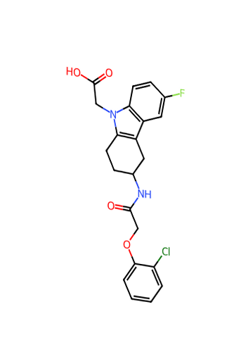 O=C(O)Cn1c2c(c3cc(F)ccc31)CC(NC(=O)COc1ccccc1Cl)CC2